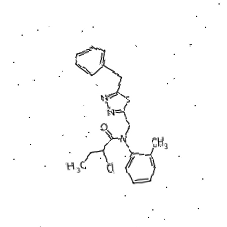 CCC(Cl)C(=O)N(Cc1nnc(Cc2ccccc2)s1)c1ccccc1C